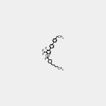 CCCCCC1CCC(C(F)(F)Oc2ccc(-c3ccc(-c4ccc(CC)cc4)cc3)c(F)c2C(F)F)CC1